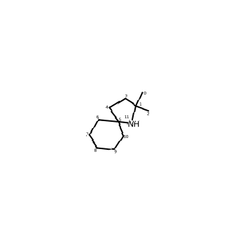 CC1(C)CCC2(CCCCC2)N1